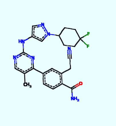 Cc1cnc(Nc2cnn(C3CCC(F)(F)CC3)c2)nc1-c1ccc(C(N)=O)c(CC#N)c1